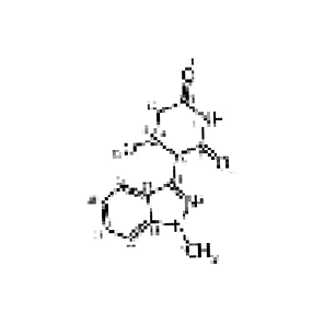 Cn1nc(C2C(=O)NC(=O)C[S+]2[O-])c2ccccc21